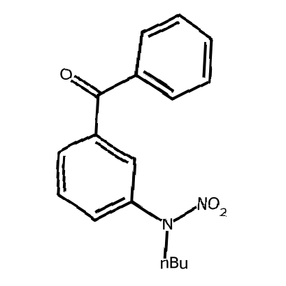 CCCCN(c1cccc(C(=O)c2ccccc2)c1)[N+](=O)[O-]